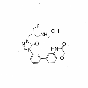 Cl.NC/C(=C\F)Cn1ncn(-c2cccc(-c3ccc4c(c3)NC(=O)CO4)c2)c1=O